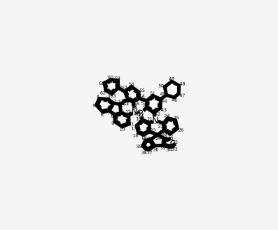 CC12c3ccccc3-c3cccc(c31)N1B3c4cccc5c4N(c4ccccc4C54c5ccccc5-c5ccccc54)c4cc(C5CCCCC5)cc(c43)-c3ccc(-c4ccccc4)c2c31